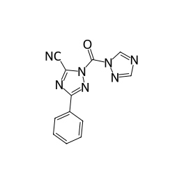 N#Cc1nc(-c2ccccc2)nn1C(=O)n1cncn1